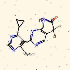 COc1ncnc(C2CC2)c1-c1ncc2c(n1)NC(=O)C2(Br)Br